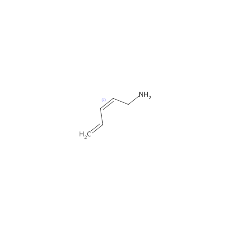 C=C/C=C\CN